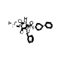 CCn1c(=O)[nH]c(C(=O)N[C@H]2CC[C@@H](c3ccccc3)CC2)c(OCc2ccccc2)c1=O